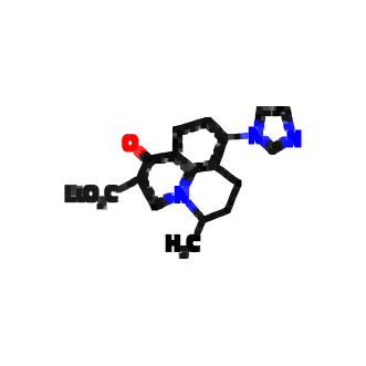 CCOC(=O)c1cn2c3c(c(-n4ccnc4)ccc3c1=O)CCC2C